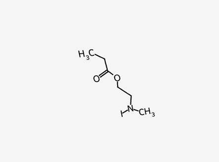 CCC(=O)OCCN(C)I